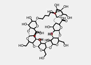 NCCCCCO[C@@H]1OC(C(=O)O)[C@@H](O[C@H]2OC(CO)[C@H](O[C@H]3OC(CO)[C@@H](O[C@@H]4OC(CO)[C@@H](O[C@@H]5OC(C(=O)O)[C@@H](C[C@H]6OC(CO)[C@H](O)[C@H](O)C6O)[C@H](O)C5O)[C@H](O)C4O)[C@H](O)C3O)[C@H](O)C2O)[C@H](O)C1O